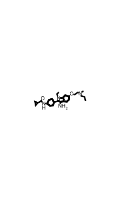 CCCN(C)CCOc1ccc2c(N)c(-c3ccc(NC(=O)C4CC4)cc3)n(CC)c2c1